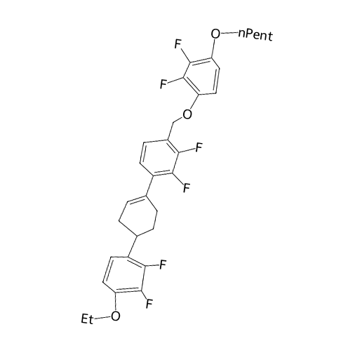 CCCCCOc1ccc(OCc2ccc(C3=CCC(c4ccc(OCC)c(F)c4F)CC3)c(F)c2F)c(F)c1F